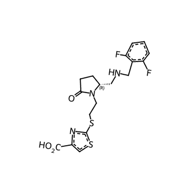 O=C(O)c1csc(SCCN2C(=O)CC[C@@H]2CNCc2c(F)cccc2F)n1